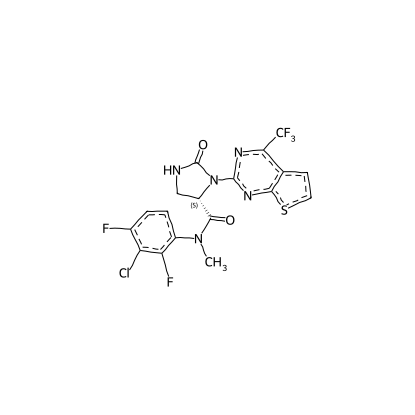 CN(C(=O)[C@@H]1CNC(=O)N1c1nc(C(F)(F)F)c2ccsc2n1)c1ccc(F)c(Cl)c1F